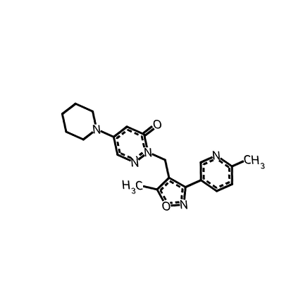 Cc1ccc(-c2noc(C)c2Cn2ncc(N3CCCCC3)cc2=O)cn1